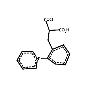 CCCCCCCCC(Cc1ccccc1-[n+]1ccccc1)C(=O)O